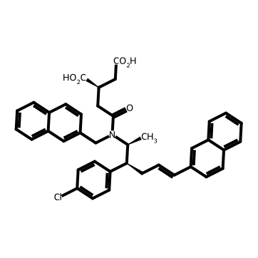 C[C@@H]([C@@H](CC=Cc1ccc2ccccc2c1)c1ccc(Cl)cc1)N(Cc1ccc2ccccc2c1)C(=O)C[C@H](CC(=O)O)C(=O)O